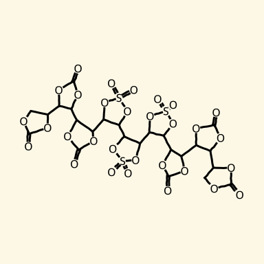 O=C1OCC(C2OC(=O)OC2C2OC(=O)OC2C2OS(=O)(=O)OC2C2OS(=O)(=O)OC2C2OS(=O)(=O)OC2C2OC(=O)OC2C2OC(=O)OC2C2COC(=O)O2)O1